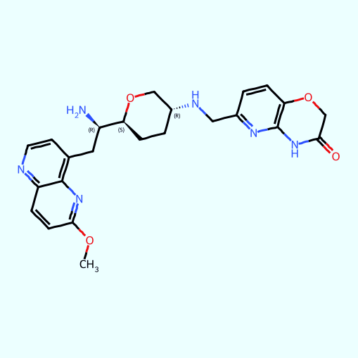 COc1ccc2nccc(C[C@@H](N)[C@@H]3CC[C@@H](NCc4ccc5c(n4)NC(=O)CO5)CO3)c2n1